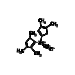 [CH2]=[Zr+2]([C]1=CC(C)=C(C)C1)[C]1=C(C)C(C)=CC1C.[Cl-].[Cl-]